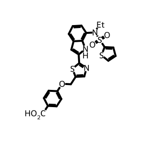 CCN(c1cccc2cc(-c3ncc(COc4ccc(C(=O)O)cc4)s3)[nH]c12)S(=O)(=O)c1cccs1